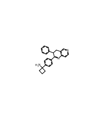 NC1(c2ccc(C3=Nc4ccncc4CC3c3ccccc3)cc2)CCC1